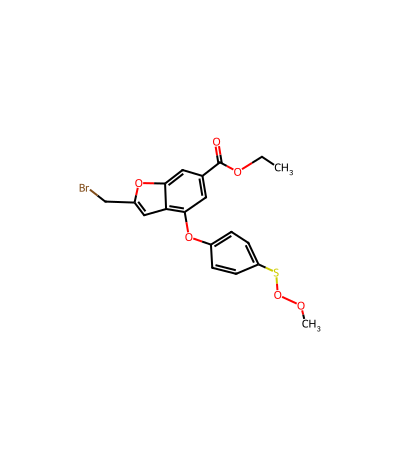 CCOC(=O)c1cc(Oc2ccc(SOOC)cc2)c2cc(CBr)oc2c1